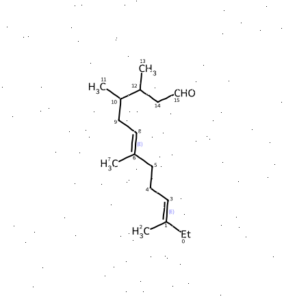 CC/C(C)=C/CC/C(C)=C/CC(C)C(C)CC=O